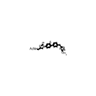 CC(=O)NCC1CN(c2ccc(-c3ccc(Cc4noc(C)n4)cc3)c(F)c2)C(=O)O1